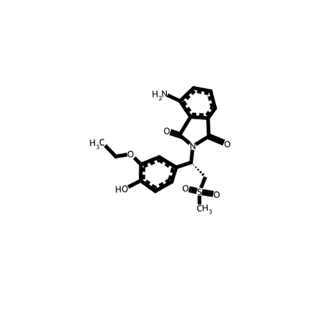 CCOc1cc([C@@H](CS(C)(=O)=O)N2C(=O)c3cccc(N)c3C2=O)ccc1O